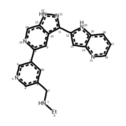 CCNCc1cncc(-c2cc3c(-c4cc5ncccc5[nH]4)n[nH]c3cn2)c1